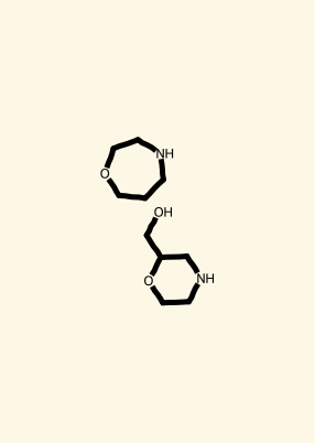 C1CNCCOC1.OCC1CNCCO1